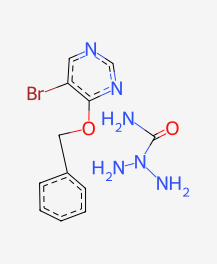 Brc1cncnc1OCc1ccccc1.NC(=O)N(N)N